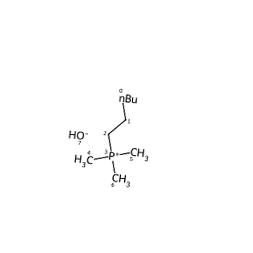 CCCCCC[P+](C)(C)C.[OH-]